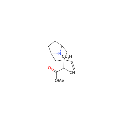 C=CC1(C(C#N)C(=O)OC)CC2CCC(C1)N2C(=O)O